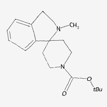 CN1Cc2ccccc2C12CCN(C(=O)OC(C)(C)C)CC2